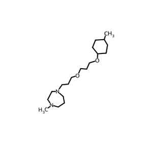 CC1CCC(OCCCOCCCN2CCCN(C)CC2)CC1